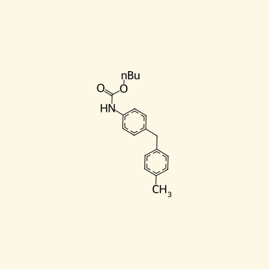 CCCCOC(=O)Nc1ccc(Cc2ccc(C)cc2)cc1